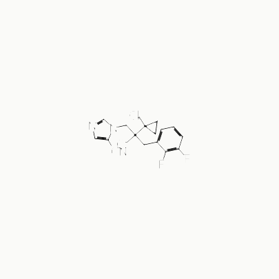 N#Cc1cncn1CC(Cl)(Cc1cccc(F)c1F)C1(Cl)CC1